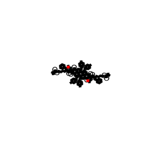 C=C(C)C(=O)OCCCCN(Cc1ccccc1)C(=O)C(CC(C)C)N1C(=O)c2cc(Oc3ccc(C)cc3)c3c4c(Oc5ccc(C)cc5)cc5c6c(cc(Oc7ccc(C)cc7)c(c7c(Oc8ccc(C)cc8)cc(c2c37)C1=O)c64)C(=O)N(C(CC(C)C)C(=O)N(CCCCOC(=O)C(=C)C)Cc1ccccc1)C5=O